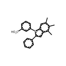 Cc1cc2c(cc(-c3ccccc3)n2-c2cccc(C(=O)O)c2)c(C)c1C